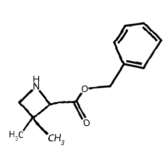 CC1(C)CNC1C(=O)OCc1ccccc1